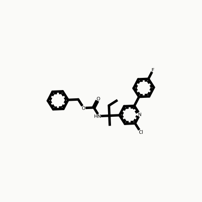 CCC(C)(NC(=O)OCc1ccccc1)c1cc(Cl)nc(-c2ccc(F)cc2)c1